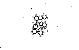 CC(CC(C1CCCCC1)C1CCCCC1)C(C(C)CC1(C2CCCCC2)CCCCC1)(C1CCCCC1)C1CCCCC1